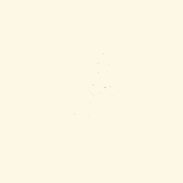 Cc1nc(N2CCC3(CCC[C@H]3N)CC2)n2ccnc2c1-c1cnc(N)c(Cl)c1Cl